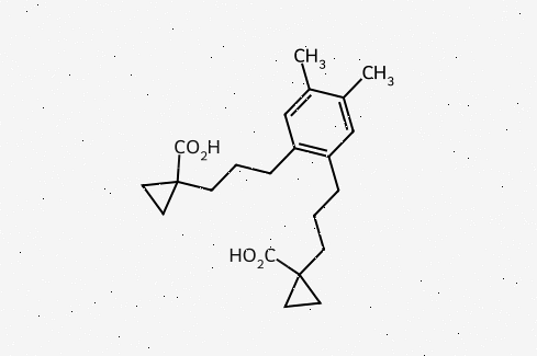 Cc1cc(CCCC2(C(=O)O)CC2)c(CCCC2(C(=O)O)CC2)cc1C